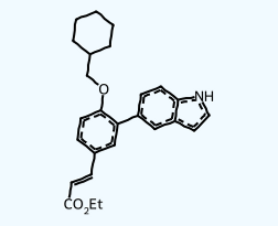 CCOC(=O)/C=C/c1ccc(OCC2CCCCC2)c(-c2ccc3[nH]ccc3c2)c1